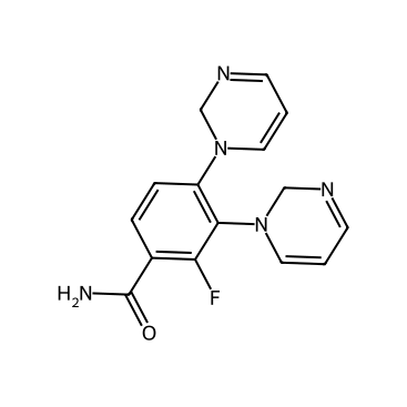 NC(=O)c1ccc(N2C=CC=NC2)c(N2C=CC=NC2)c1F